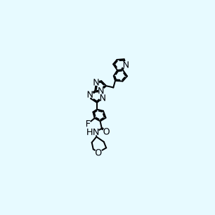 O=C(NC1CCOCC1)c1ccc(-c2cnc3ncc(Cc4ccc5ncccc5c4)n3n2)cc1F